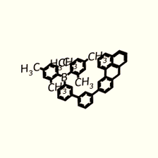 Cc1cc(C)c(B(c2cccc(-c3cccc(-c4ccc5c(c4)-c4cccc6c4=C(C=C=C=6)C5)c3)c2)c2c(C)cc(C)cc2C)c(C)c1